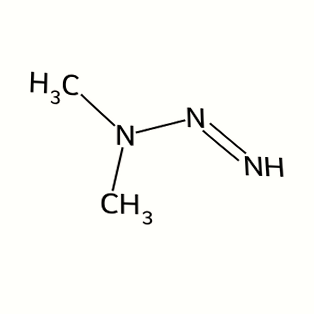 CN(C)N=N